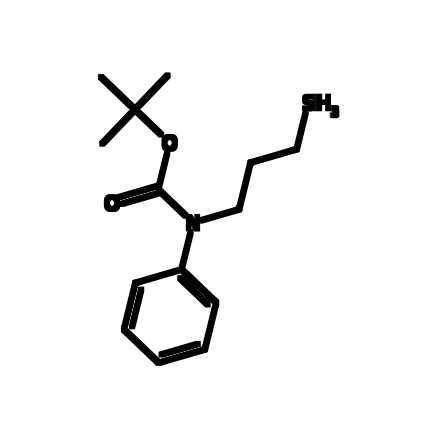 CC(C)(C)OC(=O)N(CCC[SiH3])c1ccccc1